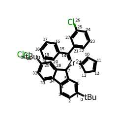 CC(C)(C)c1ccc2c(c1)[CH](/[Zr+2]([C]1=CC=CC1)=[C](\c1ccccc1)c1cccc(Cl)c1)c1cc(C(C)(C)C)ccc1-2.[Cl-].[Cl-]